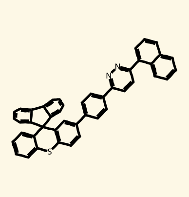 c1ccc2c(c1)Sc1ccc(-c3ccc(-c4ccc(-c5cccc6ccccc56)nn4)cc3)cc1C21c2ccccc2-c2ccccc21